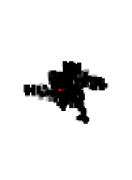 CC(C)=CCCC1(C)C=Cc2c(c(CC=C(C)C)c3c(c2OCCN2CCN(C)CC2)C2=C4C(C5CC6C(C)(C)OC(C/C=C(/C)C(=O)NCCO)(C5=O)C46O3)n3ncnc3N2)O1